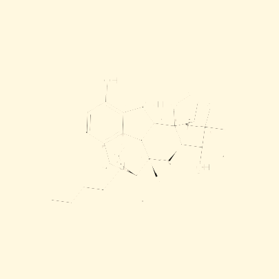 CCCCN1CC[C@]23c4c5ccc(O)c4C[C@H]2C(CC)(OC)[C@@H]([C@](C)(O)C(C)(C)C)C[C@]3(C)[C@H]1C5